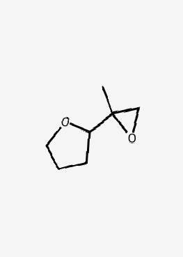 CC1(C2CCCO2)CO1